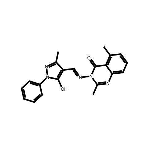 Cc1nn(-c2ccccc2)c(O)c1C=Nn1c(C)nc2cccc(C)c2c1=O